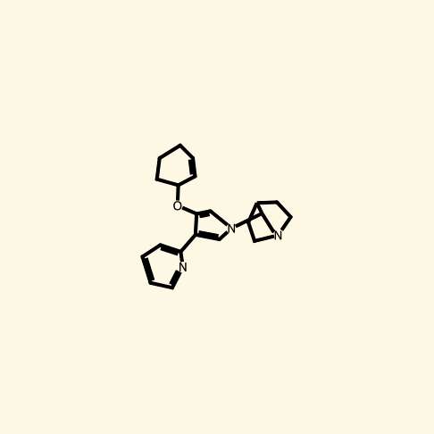 C1=CC(Oc2cn(C3CN4CCC3CC4)cc2-c2ccccn2)CCC1